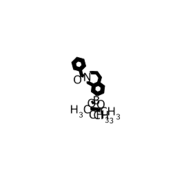 CC1(C)OB(c2ccc3c(c2)CN(C(=O)c2ccccc2)CCC3)OC1(C)C